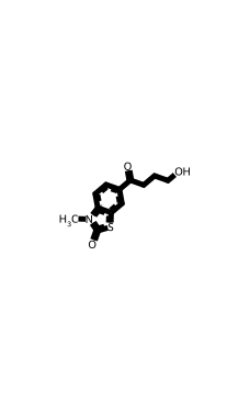 Cn1c(=O)sc2cc(C(=O)CCCO)ccc21